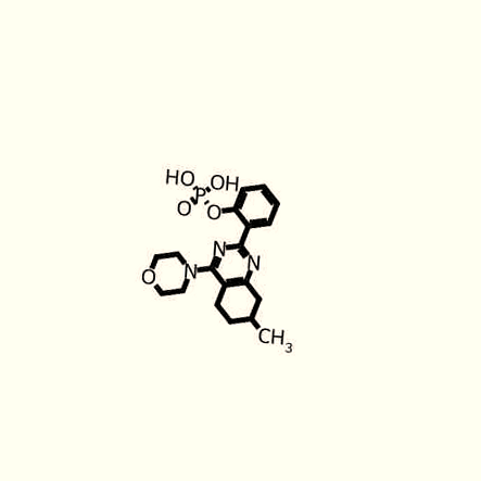 CC1CCc2c(nc(-c3ccccc3OP(=O)(O)O)nc2N2CCOCC2)C1